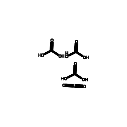 O=C(O)O.O=C(O)O.O=C(O)O.[O]=[U]=[O]